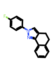 Fc1ccc(-n2cc3c(n2)-c2ccccc2CC3)cc1